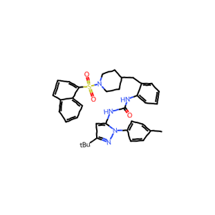 Cc1ccc(-n2nc(C(C)(C)C)cc2NC(=O)Nc2ccccc2CC2CCN(S(=O)(=O)c3cccc4ccccc34)CC2)cc1